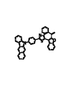 C=C(c1ccccc1)c1oc2ccccc2c1-c1sc(-c2ccc(-n3c4ccccc4c4cc5ccccc5cc43)cc2)nc1C